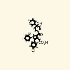 O=C(O)Cc1c(C(=O)N2CCC(O)(c3cccnc3)CC2)nn(-c2ccccc2Cl)c1-c1ccc(Cl)cc1